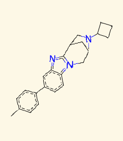 Cc1ccc(-c2ccc3c(c2)nc2n3CC3CC2CN3C2CCC2)cc1